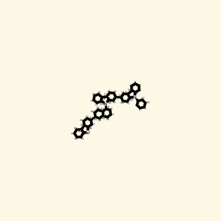 c1ccc(-n2c3ccccc3c3cc(-c4ccc5c6ccccc6n(-c6cccc7cc(-c8ccc9c(c8)oc8ccccc89)ccc67)c5c4)ccc32)cc1